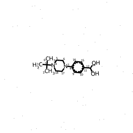 CC(C)(C)N1CCN(c2ccc(C(O)O)cc2)CC1